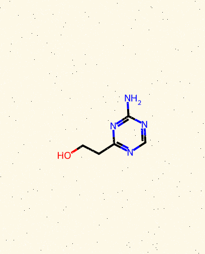 Nc1ncnc(CCO)n1